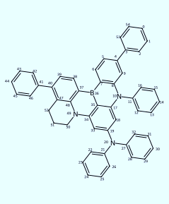 c1ccc(-c2ccc3c(c2)N(c2ccccc2)c2cc(N(c4ccccc4)c4ccccc4)cc4c2B3c2ccc(-c3ccccc3)c3c2N4CCC3)cc1